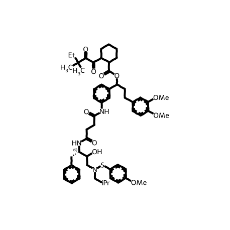 CCC(C)(C)C(=O)C(=O)C1CCCCC1C(=O)OC(CCc1ccc(OC)c(OC)c1)c1cccc(NC(=O)CCC(=O)N[C@@H](Cc2ccccc2)C(O)CN(CC(C)C)Sc2ccc(OC)cc2)c1